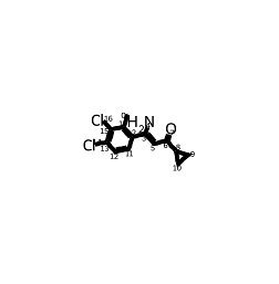 Cc1c(C(N)=CC(=O)C2CC2)ccc(Cl)c1Cl